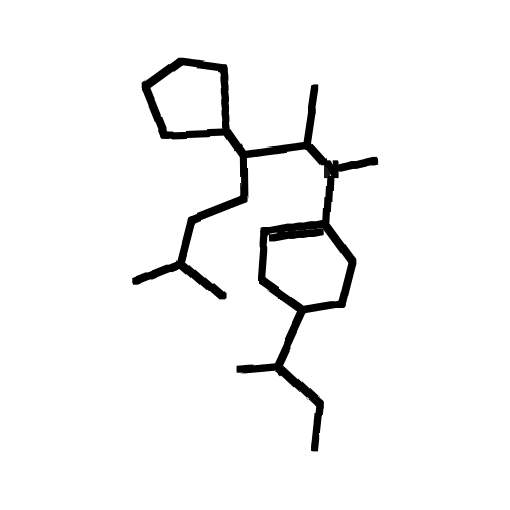 CCC(C)C1CC=C(N(C)C(C)C(CCC(C)C)C2CCCC2)CC1